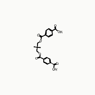 CC(C)(COC(=O)c1ccc(C(=O)O)cc1)COC(=O)c1ccc(C(=O)O)cc1